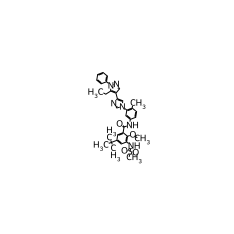 CCc1c(-c2cn(-c3cc(NC(=O)c4cc(C(C)(C)C)cc(NS(C)(=O)=O)c4OC)ccc3C)cn2)cnn1-c1ccccc1